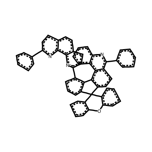 c1ccc(-c2ccc3ccc4ccc(-c5cccc6c5-c5c(ccc7c(-c8ccccc8)nc8ccccc8c57)C65c6ccccc6Oc6ccccc65)nc4c3n2)cc1